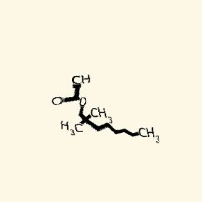 C#CC(=O)OCC(C)(C)CCCCCC